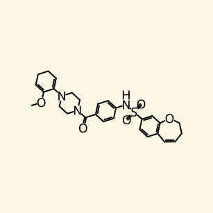 COC1=CCCC=C1N1CCN(C(=O)c2ccc(NS(=O)(=O)c3ccc4c(c3)OCCC=C4)cc2)CC1